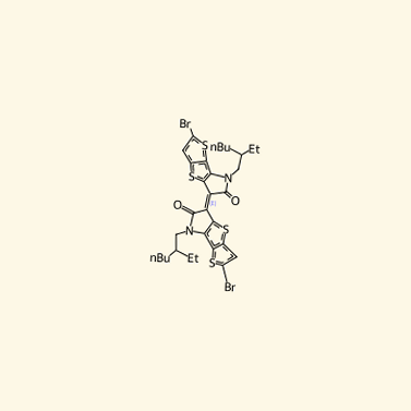 CCCCC(CC)CN1C(=O)/C(=C2/C(=O)N(CC(CC)CCCC)c3c2sc2cc(Br)sc32)c2sc3cc(Br)sc3c21